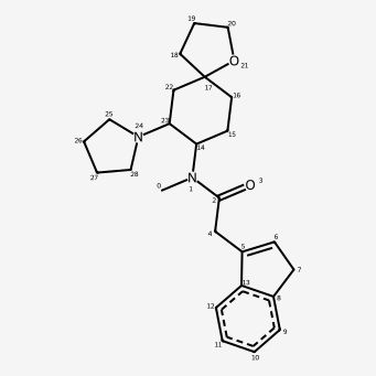 CN(C(=O)CC1=CCc2ccccc21)C1CCC2(CCCO2)CC1N1CCCC1